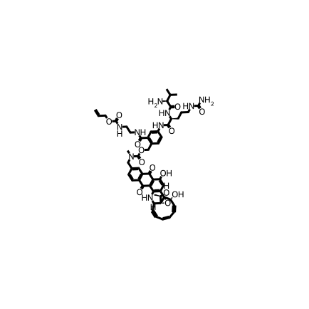 C=CCOC(=O)NCCNC(=O)c1cc(NC(=O)[C@H](CCCNC(N)=O)NC(=O)[C@@H](N)C(C)C)ccc1COC(=O)N(C)Cc1ccc2c(c1)C(=O)c1c(O)cc3c(c1C2=O)N[C@H]1C#C/C=C\C#C[C@@H](O)[C@@]32O[C@@]12[C@@H](C)O